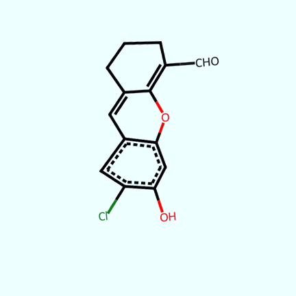 O=CC1=C2Oc3cc(O)c(Cl)cc3C=C2CCC1